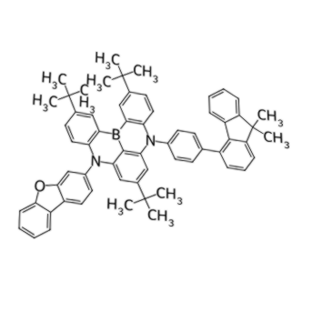 CC(C)(C)c1ccc2c(c1)B1c3cc(C(C)(C)C)ccc3N(c3ccc4c(c3)oc3ccccc34)c3cc(C(C)(C)C)cc(c31)N2c1ccc(-c2cccc3c2-c2ccccc2C3(C)C)cc1